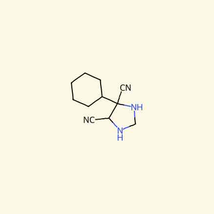 N#CC1NCNC1(C#N)C1CCCCC1